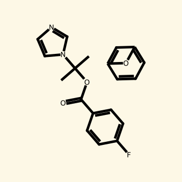 CC(C)(OC(=O)c1ccc(F)cc1)n1ccnc1.c1cc2cc(c1)O2